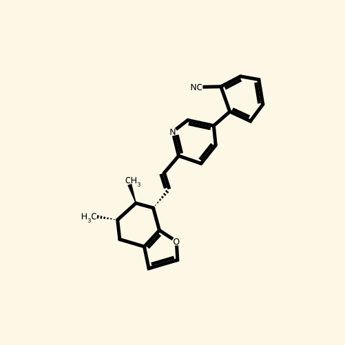 C[C@H]1[C@H](/C=C/c2ccc(-c3ccccc3C#N)cn2)c2occc2C[C@@H]1C